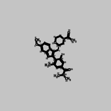 COc1ccn2c(C[C@H]3CN(C(C)=O)CCO3)c(-c3c(C)cc(C(=O)N(C)C)cc3I)nc2c1